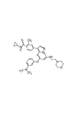 Cc1cc(-c2cnn3c(NCCN4CCOCC4)cc(Oc4cccc(N(C)C)c4)nc23)ccc1C(=O)NC1CC1